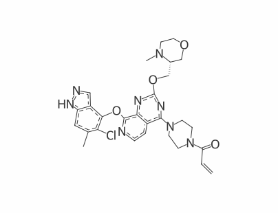 C=CC(=O)N1CCN(c2nc(OC[C@H]3COCCN3C)nc3c(Oc4c(Cl)c(C)cc5[nH]ncc45)nccc23)CC1